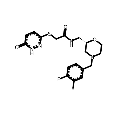 O=C(CSc1ccc(=O)[nH]n1)NC[C@H]1CN(Cc2ccc(F)c(F)c2)CCO1